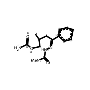 CNC(=S)NN=C(CC(C)COC(N)=O)c1ccccc1